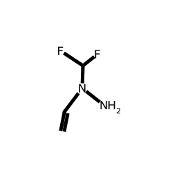 C=CN(N)C(F)F